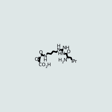 CC(C)C[C@H](N)C(=O)NC(=N)NCCCCNC(=O)[C@H]1O[C@@H]1C(=O)O